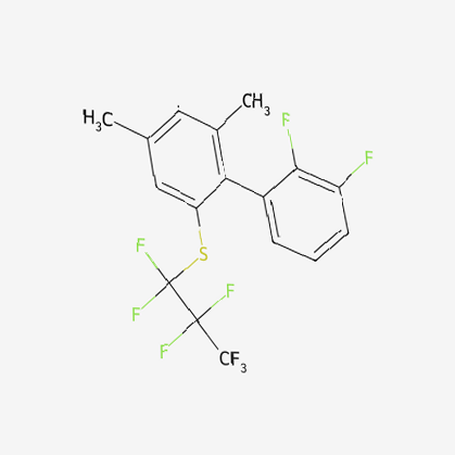 Cc1[c]c(C)c(-c2cccc(F)c2F)c(SC(F)(F)C(F)(F)C(F)(F)F)c1